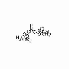 CC1(C)c2ccccc2Oc2c(-c3ccc(Nc4ccc(-c5cccc6c5Oc5ccccc5C6(C)C)cc4)cc3)cccc21